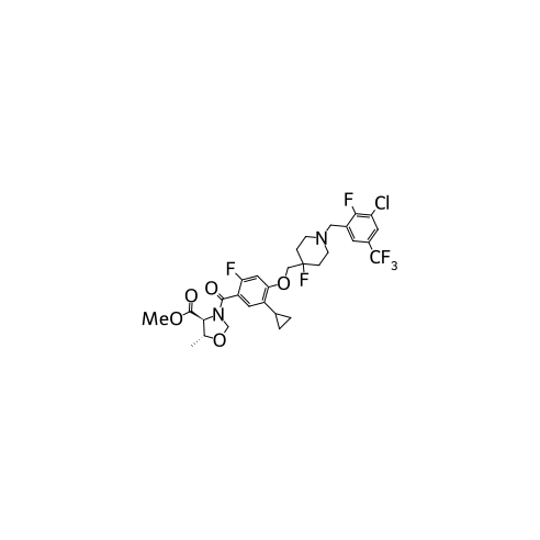 COC(=O)[C@@H]1[C@@H](C)OCN1C(=O)c1cc(C2CC2)c(OCC2(F)CCN(Cc3cc(C(F)(F)F)cc(Cl)c3F)CC2)cc1F